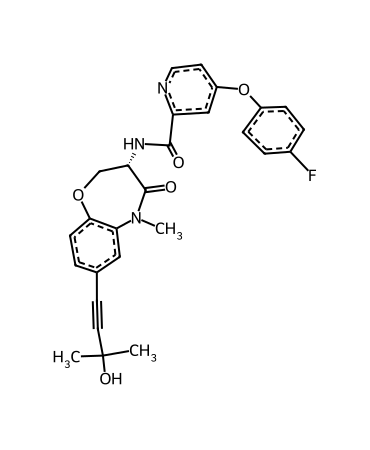 CN1C(=O)[C@@H](NC(=O)c2cc(Oc3ccc(F)cc3)ccn2)COc2ccc(C#CC(C)(C)O)cc21